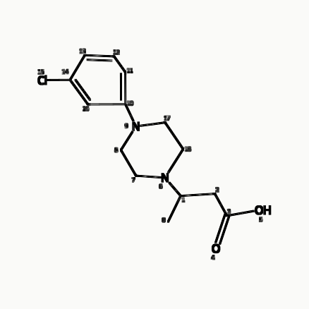 CC(CC(=O)O)N1CCN(c2cccc(Cl)c2)CC1